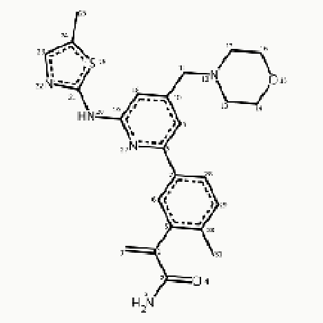 C=C(C(N)=O)c1cc(-c2cc(CN3CCOCC3)cc(Nc3ncc(C)s3)n2)ccc1C